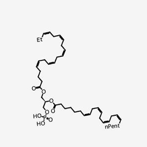 CC/C=C\C/C=C\C/C=C\C/C=C\C/C=C\CCCC(=O)OC[C@H](COP(=O)(O)O)OC(=O)CCCCC/C=C\C/C=C\C/C=C\C/C=C\CCCCC